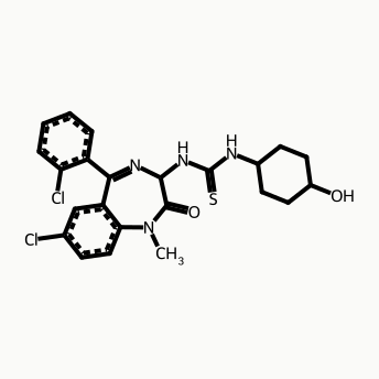 CN1C(=O)C(NC(=S)NC2CCC(O)CC2)N=C(c2ccccc2Cl)c2cc(Cl)ccc21